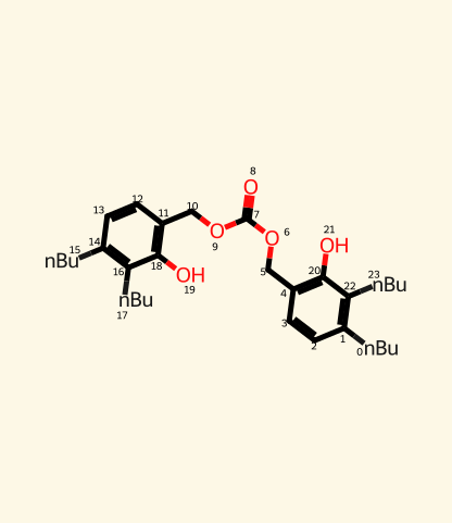 CCCCc1ccc(COC(=O)OCc2ccc(CCCC)c(CCCC)c2O)c(O)c1CCCC